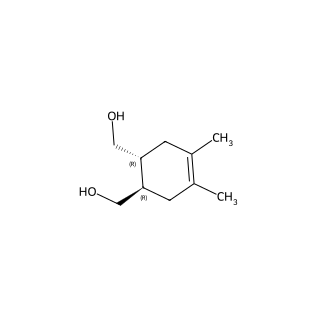 CC1=C(C)C[C@@H](CO)[C@H](CO)C1